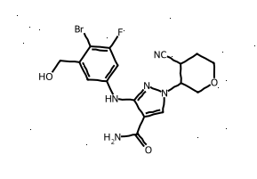 N#CC1CCOCC1n1cc(C(N)=O)c(Nc2cc(F)c(Br)c(CO)c2)n1